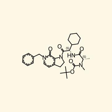 C[C@@H](C(=O)N[C@H](C(=O)N1CCc2ccn(Cc3ccccc3)c(=O)c21)C1CCCCC1)N(C)C(=O)OC(C)(C)C